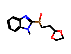 Cn1c([S+]([O-])CCC2OCCO2)nc2ccccc21